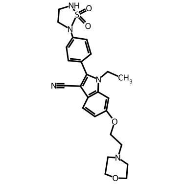 CCn1c(-c2ccc(N3CCNS3(=O)=O)cc2)c(C#N)c2ccc(OCCN3CCOCC3)cc21